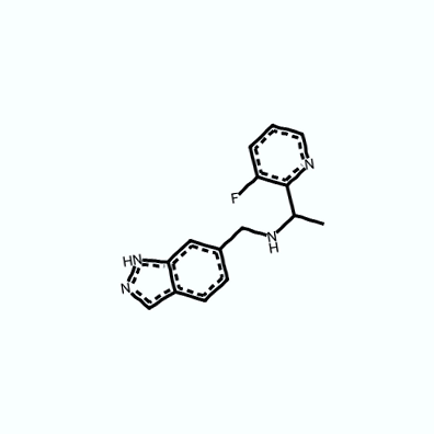 CC(NCc1ccc2cn[nH]c2c1)c1ncccc1F